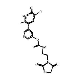 CCc1cc(-c2cncc(OC(=O)NCCN3C(=O)CSC3=O)c2)c(C)[nH]c1=O